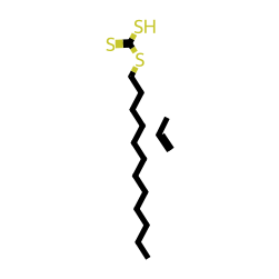 C=CC.CCCCCCCCCCCCSC(=S)S